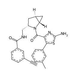 C#Cc1cccc(C(=O)NC[C@@H]2C[C@H]3C[C@@H]3N2C(=O)c2nc(N)sc2-c2cccc(C)c2)c1